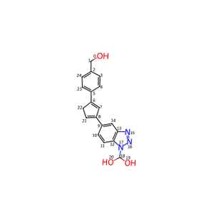 OCc1ccc(C2=CC(c3ccc4c(c3)nnn4C(O)O)=CC2)cc1